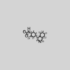 O=C1Nc2ccc(-c3cncc4ccccc34)cc2CO1